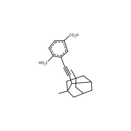 CC12CC3CC(C1)C(C#Cc1cc(C(=O)O)ccc1C(=O)O)C(C)(C3)C2